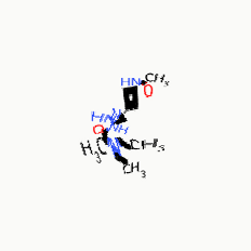 CCCN(CCC)C(C)C(=O)Nc1cc([C@H]2C[C@@H](NC(C)=O)C2)n[nH]1